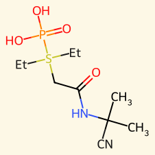 CCS(CC)(CC(=O)NC(C)(C)C#N)P(=O)(O)O